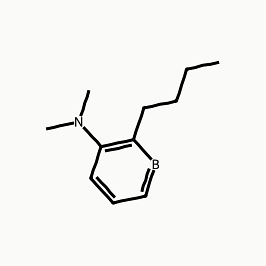 CCCCc1bcccc1N(C)C